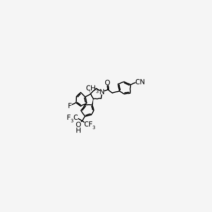 C[C@]1(c2ccc(F)cc2)CN(C(=O)Cc2ccc(C#N)cc2)C[C@H]1c1ccc(C(O)(C(F)(F)F)C(F)(F)F)cc1